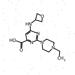 CCN1CCN(c2nc(NC3COC3)cc(C(=O)O)n2)CC1